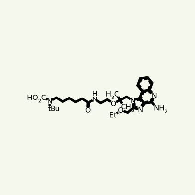 CCOCc1nc2c(N)nc3ccccc3c2n1CC(C)(C)OCCNC(=O)CCCCCN(C(=O)O)C(C)(C)C